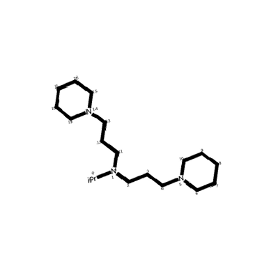 CC(C)N(CCCN1CCCCC1)CCCN1CCCCC1